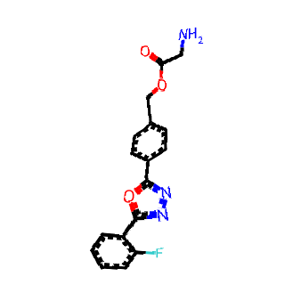 NCC(=O)OCc1ccc(-c2nnc(-c3ccccc3F)o2)cc1